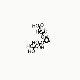 C1CCCC1.O=C(O)O.O=C(O)O.O=C(O)O.O=C(O)O